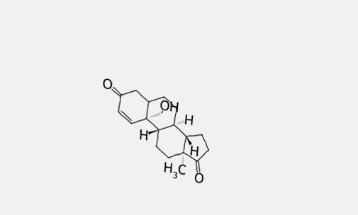 C[C@]12CC[C@H]3[C@@H](CCC4CC(=O)C=C[C@@]43CO)[C@@H]1CCC2=O